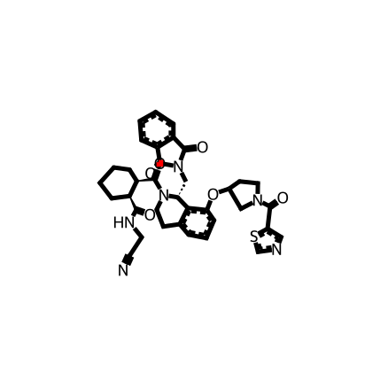 N#CCNC(=O)[C@H]1CCCC[C@H]1C(=O)N1CCc2cccc(OC3CCN(C(=O)c4cncs4)C3)c2[C@H]1CN1C(=O)c2ccccc2C1=O